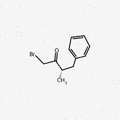 C[C@@H](Cc1ccccc1)C(=O)CBr